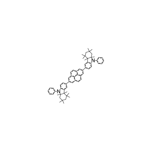 CC1(C)CC(C)(C)C2(C)c3cc(-c4cc5ccc6cc(-c7ccc8c(c7)C7(C)C(C)(C)CC(C)(C)CC7(C)N8c7ccccc7)cc7ccc(c4)c5c67)ccc3N(c3ccccc3)C2(C)C1